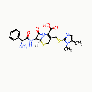 Cc1cnc(SCC2=C(C(=O)O)N3C(=O)C(NC(=O)C(N)c4ccccc4)[C@@H]3SC2)n1C